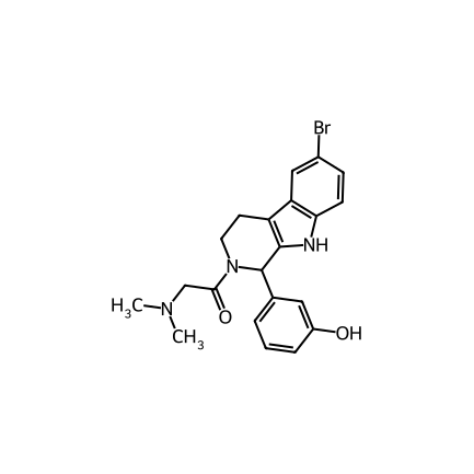 CN(C)CC(=O)N1CCc2c([nH]c3ccc(Br)cc23)C1c1cccc(O)c1